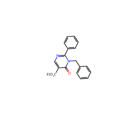 CCOC(=O)c1cnc(-c2ccccc2)n(Cc2ccccc2)c1=O